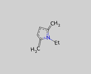 C=c1ccc(=C)n1CC